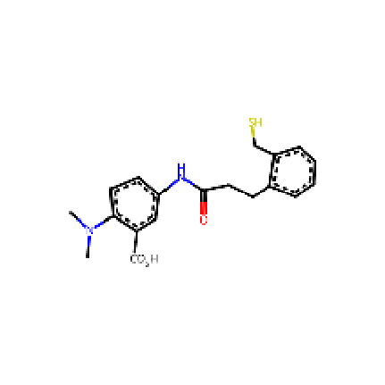 CN(C)c1ccc(NC(=O)CCc2ccccc2CS)cc1C(=O)O